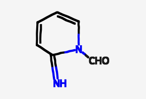 N=c1ccccn1C=O